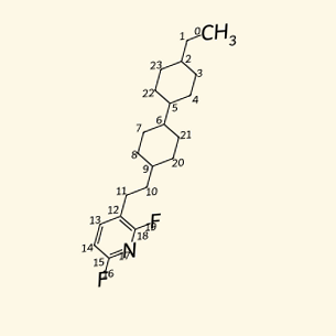 CCC1CCC(C2CCC(CCc3ccc(F)nc3F)CC2)CC1